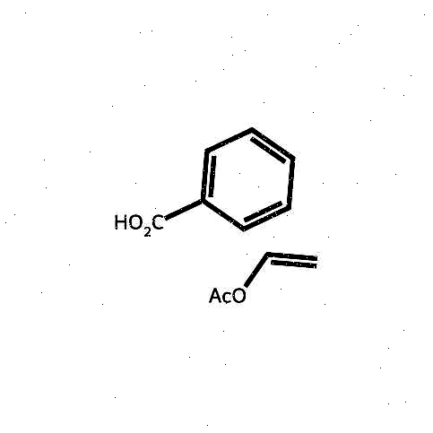 C=COC(C)=O.O=C(O)c1ccccc1